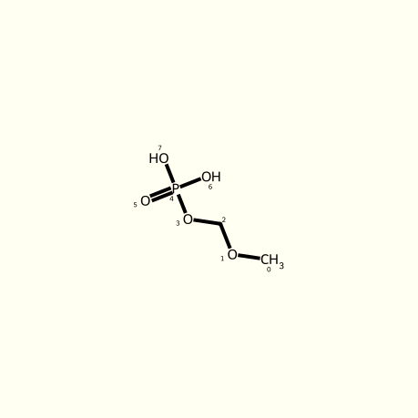 COCOP(=O)(O)O